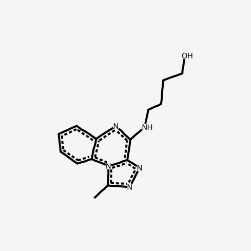 Cc1nnc2c(NCCCCO)nc3ccccc3n12